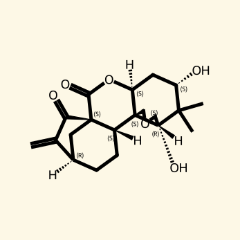 C=C1C(=O)[C@]23C[C@H]1CC[C@H]2[C@@]12CO[C@H](O)[C@@H]1C(C)(C)[C@@H](O)C[C@@H]2OC3=O